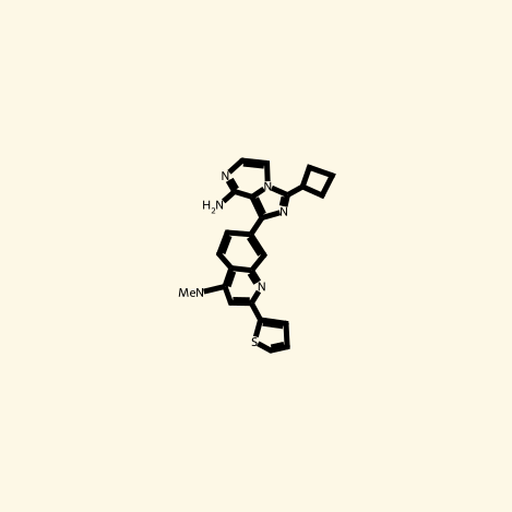 CNc1cc(-c2cccs2)nc2cc(-c3nc(C4CCC4)n4ccnc(N)c34)ccc12